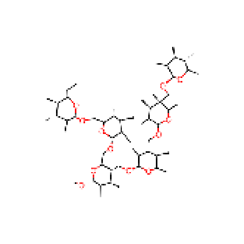 CCC1O[C@@H](OCC2O[C@@H](OCC3O[C@@H](OC)C(C)[C@H](C)[C@H]3CO[C@@H]3OC(C)[C@H](C)[C@@H](CO[C@@H]4OC(C)[C@@](C)(CO[C@@H]5OC(C)[C@@H](C)[C@H](C)C5C)[C@H](C)C4C)C3C)C(C)[C@H](C)[C@H]2C)C(C)[C@H](C)[C@H]1C